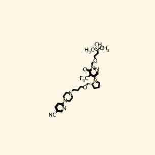 C[Si](C)(C)CCOCn1ncc(N2CCC[C@H]2COCCCN2CCN(c3ccc(C#N)cn3)CC2)c(C(F)(F)F)c1=O